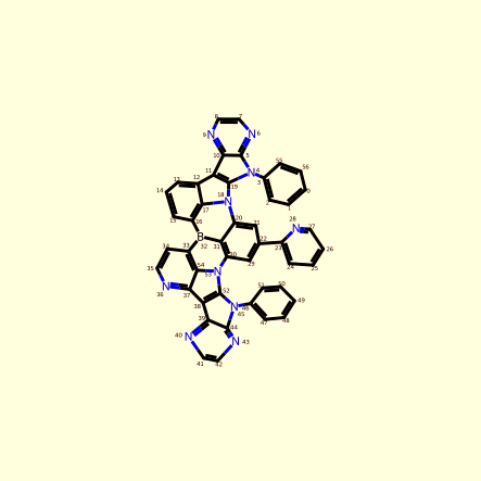 c1ccc(-n2c3nccnc3c3c4cccc5c4n(c32)-c2cc(-c3ccccn3)cc3c2B5c2ccnc4c5c6nccnc6n(-c6ccccc6)c5n-3c24)cc1